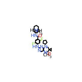 CN1C(=O)C2(CC2)CN(C2CCCC2)c2nc(Nc3cc(F)c(C(=O)N[C@H]4C[C@H]5CCC[C@@H](C4)N5C)cc3F)ncc21